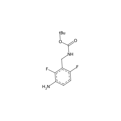 CC(C)(C)OC(=O)NCc1c(F)ccc(N)c1F